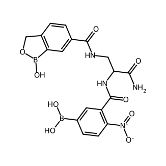 NC(=O)C(CNC(=O)c1ccc2c(c1)B(O)OC2)NC(=O)c1cc(B(O)O)ccc1[N+](=O)[O-]